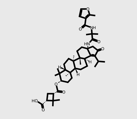 Cc1occc1C(=O)NC(C)(C)C(=O)N[C@@]12CC[C@]3(C)[C@H](CC[C@@H]4[C@@]5(C)CC[C@H](OC(=O)[C@H]6C[C@@H](C(=O)O)C6(C)C)C(C)(C)[C@@H]5CC[C@]43C)C1=C(C(C)C)C(=O)C2